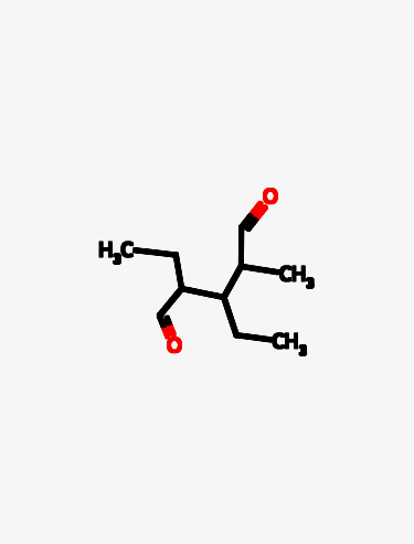 CCC(C=O)C(CC)C(C)C=O